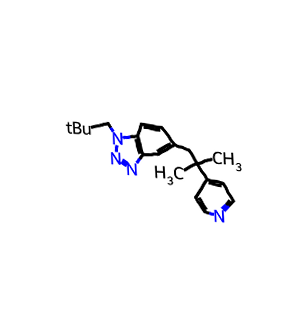 CC(C)(C)Cn1nnc2cc(CC(C)(C)c3ccncc3)ccc21